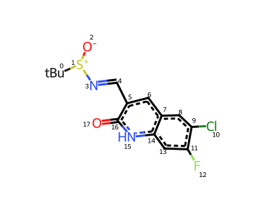 CC(C)(C)[S+]([O-])/N=C/c1cc2cc(Cl)c(F)cc2[nH]c1=O